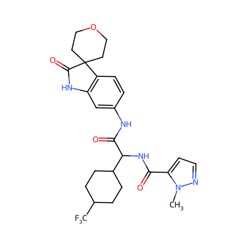 Cn1nccc1C(=O)NC(C(=O)Nc1ccc2c(c1)NC(=O)C21CCOCC1)C1CCC(C(F)(F)F)CC1